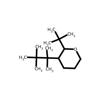 CC(C)(C)C1OCCCC1C(C)(C)C(C)(C)C